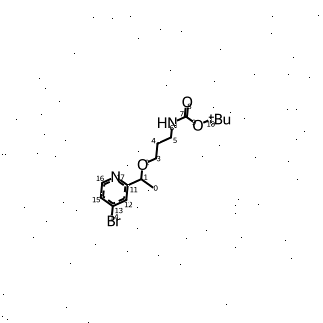 CC(OCCCNC(=O)OC(C)(C)C)c1cc(Br)ccn1